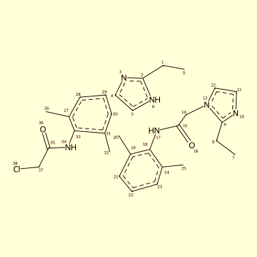 CCc1ncc[nH]1.CCc1nccn1CC(=O)Nc1c(C)cccc1C.Cc1cccc(C)c1NC(=O)CCl